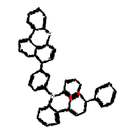 c1ccc(-c2ccc(-c3ccccc3N(c3ccccc3)c3cccc(-c4ccc5c6c(cccc46)-c4ccccc4O5)c3)cc2)cc1